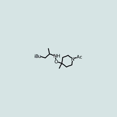 CCC(C)CC(C)NOC1(C)CCN(C(C)=O)CC1